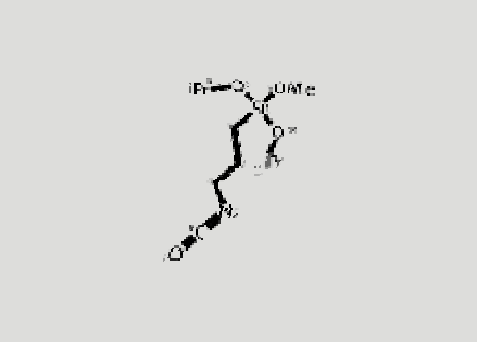 CO[Si](CCCN=C=O)(OC(C)C)OC(C)C